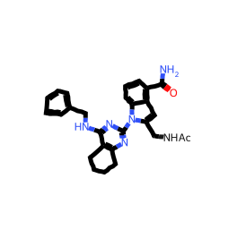 CC(=O)NCc1cc2c(C(N)=O)cccc2n1-c1nc2c(c(NCc3ccccc3)n1)CCCC2